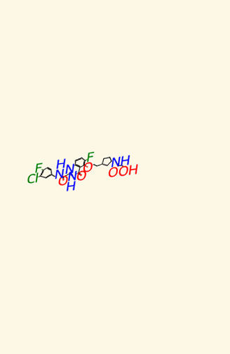 O=C(CO)NC1CCC(CCOc2c(F)ccc3nc(C(=O)NCc4ccc(F)c(Cl)c4)[nH]c(=O)c23)C1